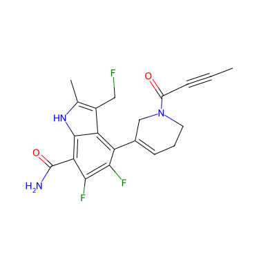 CC#CC(=O)N1CCC=C(c2c(F)c(F)c(C(N)=O)c3[nH]c(C)c(CF)c23)C1